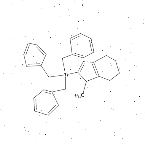 CC1[C]([Ti]([CH2]c2ccccc2)([CH2]c2ccccc2)[CH2]c2ccccc2)=CC2=C1CCCC2